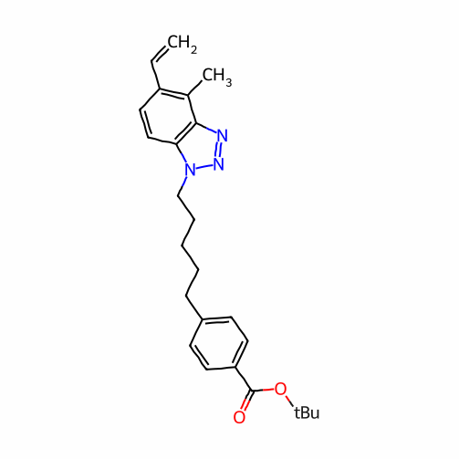 C=Cc1ccc2c(nnn2CCCCCc2ccc(C(=O)OC(C)(C)C)cc2)c1C